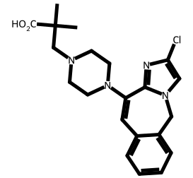 CC(C)(CN1CCN(C2=Cc3ccccc3Cn3cc(Cl)nc32)CC1)C(=O)O